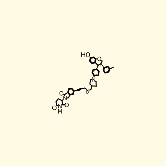 Cc1cccc([C@@H]2COc3cc(O)ccc3[C@@H]2c2ccc(N3CCC(CN(C)CC#Cc4ccc5c(c4)CN(C4CCC(=O)NC4=O)C5=O)CC3)cc2)c1